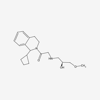 COC[C@@H](O)CNCC(=O)N1CCc2ccccc2C1C1CCC1